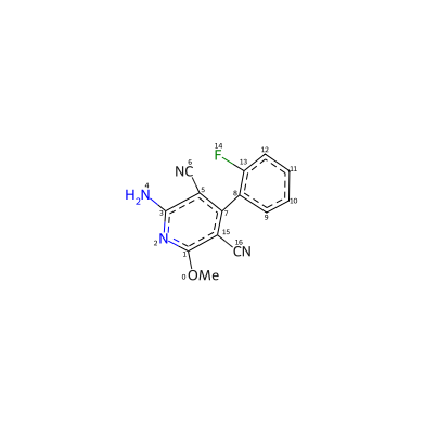 COc1nc(N)c(C#N)c(-c2ccccc2F)c1C#N